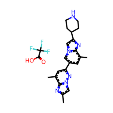 Cc1cn2nc(-c3cc(C)c4nc(C5CCNCC5)cn4c3)cc(C)c2n1.O=C(O)C(F)(F)F